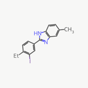 CCc1ccc(-c2nc3cc(C)ccc3[nH]2)cc1I